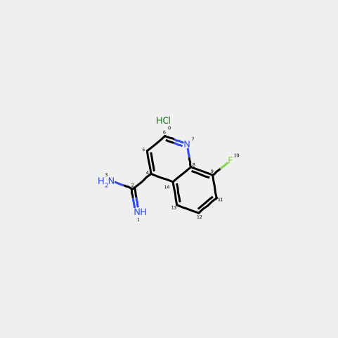 Cl.N=C(N)c1ccnc2c(F)cccc12